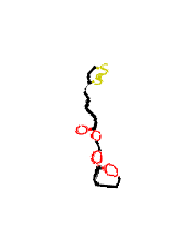 O=C(CCCC[C@@H]1CCSS1)OCCOC1CCCCO1